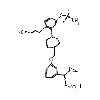 CC(C)(C)CCCc1ccc(OC(C)(F)F)cc1N1CCC(COc2cccc(C(CC(=O)O)C3CC3)c2)CC1